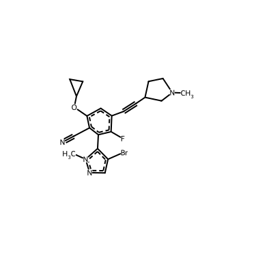 CN1CCC(C#Cc2cc(OC3CC3)c(C#N)c(-c3c(Br)cnn3C)c2F)C1